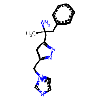 C[C@@](N)(Cc1ccccc1)C1=NN=C(Cn2ccnc2)C1